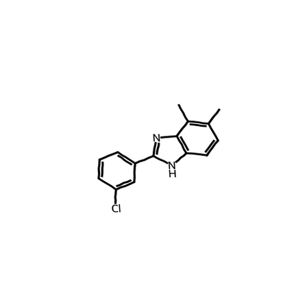 Cc1ccc2[nH]c(-c3cccc(Cl)c3)nc2c1C